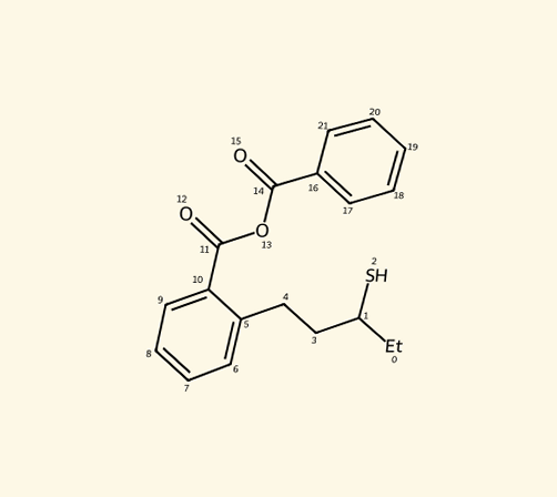 CCC(S)CCc1ccccc1C(=O)OC(=O)c1ccccc1